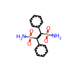 NS(=O)(=O)C(=C(c1ccccc1)S(N)(=O)=O)c1ccccc1